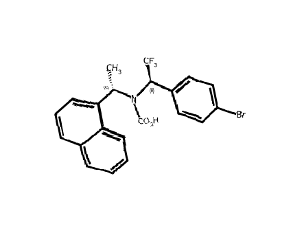 C[C@@H](c1cccc2ccccc12)N(C(=O)O)[C@H](c1ccc(Br)cc1)C(F)(F)F